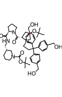 CC(C)(C)OC(=O)N1CCC[C@H](CNC(=O)[C@H]2CCCN2C(=O)[C@@H]2C[C@@H](OC(C)(C)C)CN2CCC(c2ccc(CO)cc2)(c2ccc(CO)cc2)c2ccc(CO)cc2)C1